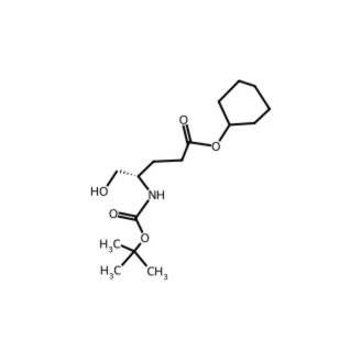 CC(C)(C)OC(=O)N[C@H](CO)CCC(=O)OC1CCCCC1